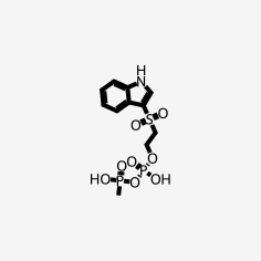 CP(=O)(O)OP(=O)(O)OCCS(=O)(=O)c1c[nH]c2ccccc12